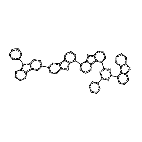 c1ccc(-c2nc(-c3cccc4oc5ccccc5c34)nc(-c3cccc4sc5c(-c6cccc7c6oc6ccc(-c8ccc9c(c8)c8ccccc8n9-c8ccccc8)cc67)cccc5c34)n2)cc1